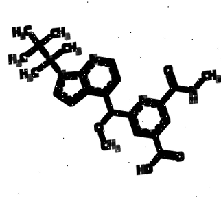 CNC(=O)c1cc(C(=O)O)cc(C(OC)c2ccnc3c2ccn3[Si](C)(C)C(C)(C)C)n1